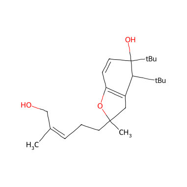 CC(=CCCC1(C)CC2=C(C=CC(O)(C(C)(C)C)C2C(C)(C)C)O1)CO